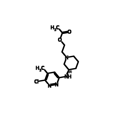 CC(=O)OCCN1CCC[C@@H](Nc2cc(C)c(Cl)nn2)C1